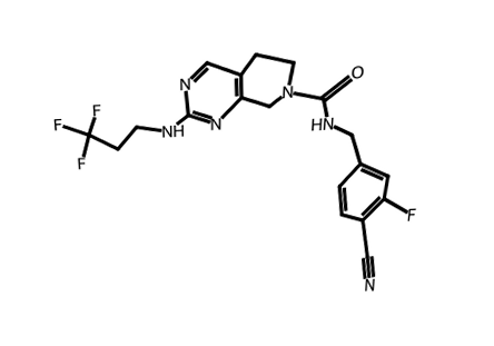 N#Cc1ccc(CNC(=O)N2CCc3cnc(NCCC(F)(F)F)nc3C2)cc1F